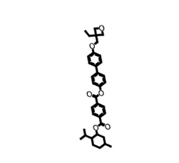 CCC1(COc2ccc(-c3ccc(OC(=O)c4ccc(C(=O)OC5CC(C)CCC5C(C)C)cc4)cc3)cc2)COC1